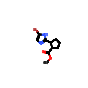 CC(C)(C)OC(=O)C1CCCC1c1ncc(Br)[nH]1